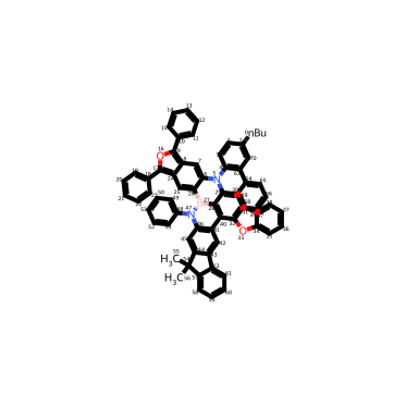 CCCCc1ccc(N2c3cc4c(-c5ccccc5)oc(-c5ccccc5)c4cc3B3c4c2cc2c(oc5ccccc52)c4-c2cc4c(cc2N3c2ccccc2)C(C)(C)c2ccccc2-4)c(-c2ccccc2)c1